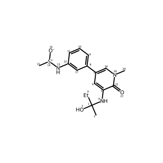 CCC(C)(O)Nc1cc(-c2cccc(N[S+](C)[O-])c2)cn(C)c1=O